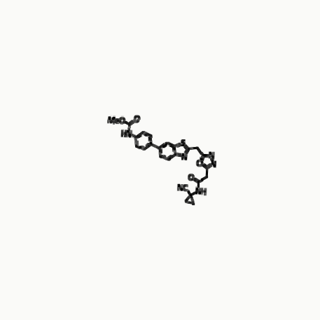 COC(=O)Nc1ccc(-c2ccc3nc(Cc4nnc(CC(=O)NC5(C#N)CC5)o4)sc3c2)cc1